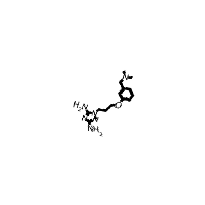 CN(C)Cc1cccc(OCCCn2nc(N)nc2N)c1